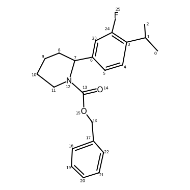 CC(C)c1ccc(C2CCCCN2C(=O)OCc2ccccc2)cc1F